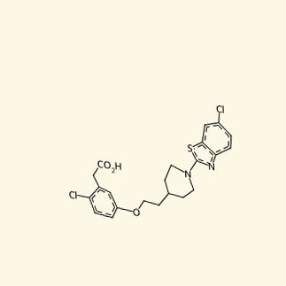 O=C(O)Cc1cc(OCCC2CCN(c3nc4ccc(Cl)cc4s3)CC2)ccc1Cl